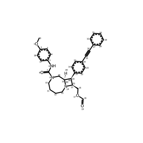 COc1ccc(NC(=O)N2CCCCN3[C@H](COC=O)[C@H](c4ccc(C#Cc5ccccc5)cc4)[C@@H]3C2)cc1